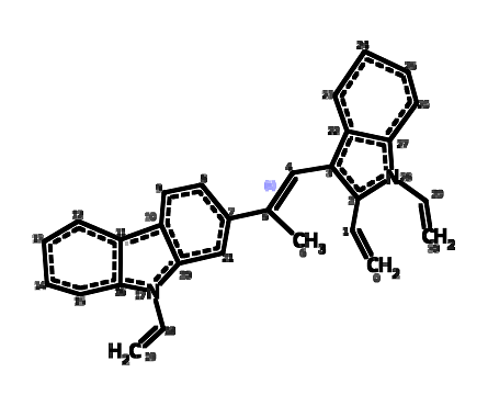 C=Cc1c(/C=C(\C)c2ccc3c4ccccc4n(C=C)c3c2)c2ccccc2n1C=C